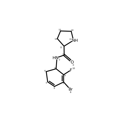 O=C(NC1CC=CC(Br)=C1F)C1CCCN1